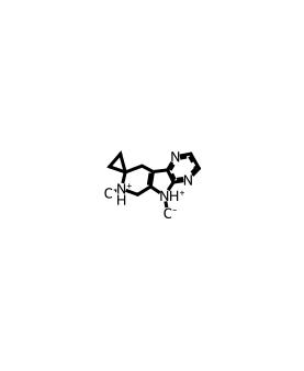 [CH2-][NH+]1C2=C(CC3(CC3)[NH+]([CH2-])C2)c2nccnc21